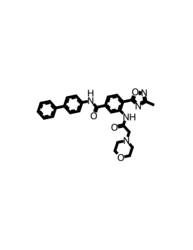 Cc1noc(-c2ccc(C(=O)Nc3ccc(-c4ccccc4)cc3)cc2NC(=O)CN2CCOCC2)n1